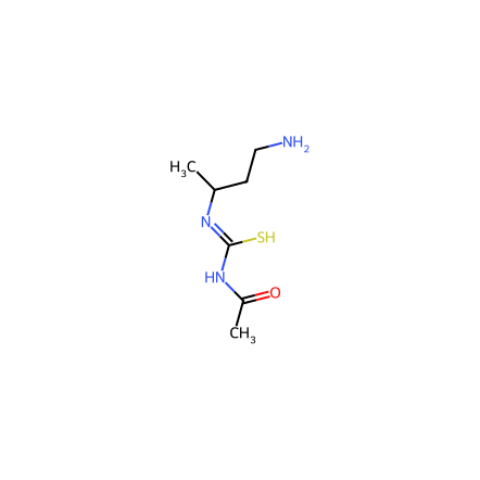 CC(=O)N/C(S)=N/C(C)CCN